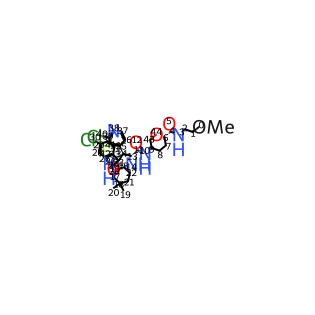 COCCNC(=O)[C@@H]1CC[C@@H](NC(=O)[C@@H]2NC3(CCC(C)(C)CC3)[C@@]3(C(=O)Nc4cc(Cl)ccc43)[C@H]2c2ccnc(Cl)c2F)CO1